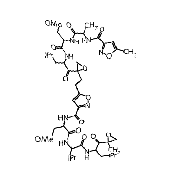 COCC(NC(=O)c1cc(CCC2(C(=O)C(CC(C)C)NC(=O)C(COC)NC(=O)C(C)NC(=O)c3cc(C)on3)CO2)on1)C(=O)NC(C(=O)NC(CC(C)C)C(=O)C1(C)CO1)C(C)C